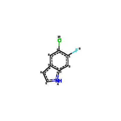 Fc1cc2[nH]ccc2cc1Cl